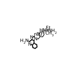 CCCCc1nc2c(N)nc3ccccc3c2n1CC1CCN(NC(C)(N)CC)CC1